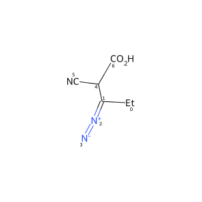 CCC(=[N+]=[N-])C(C#N)C(=O)O